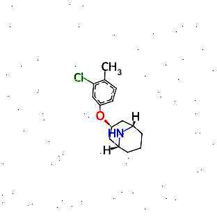 Cc1ccc(O[C@@H]2C[C@H]3CCC[C@@H](C2)N3)cc1Cl